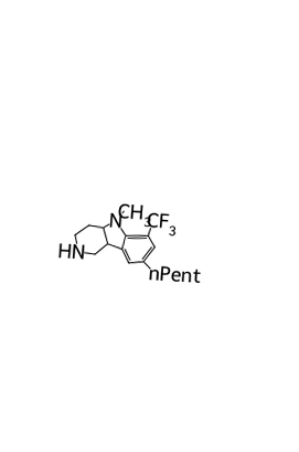 CCCCCc1cc2c(c(C(F)(F)F)c1)N(C)C1CCNCC21